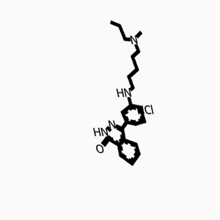 CCCN(C)CCCCCNc1cccc(-c2n[nH]c(=O)c3ccccc23)c1.Cl